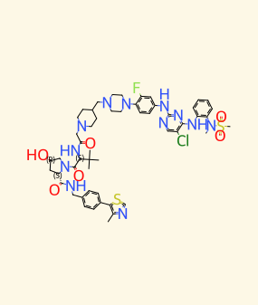 Cc1ncsc1-c1ccc(CNC(=O)[C@@H]2C[C@@H](O)CN2C(=O)[C@@H](NC(=O)CN2CCC(CN3CCN(c4ccc(Nc5ncc(Cl)c(Nc6ccccc6N(C)S(C)(=O)=O)n5)cc4F)CC3)CC2)C(C)(C)C)cc1